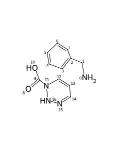 NCc1ccccc1.O=C(O)N1C=CC=NN1